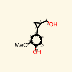 COc1cc(C2CC2CO)ccc1O